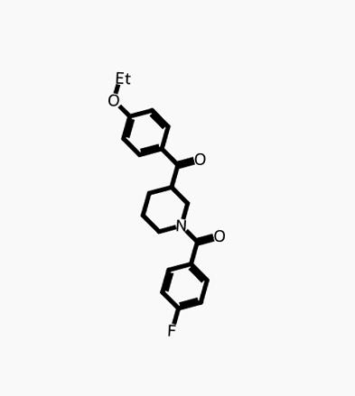 CCOc1ccc(C(=O)C2CCCN(C(=O)c3ccc(F)cc3)C2)cc1